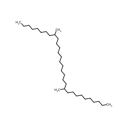 CCCCCCCCCCC(C)CCCCCCCCCCCC(C)CCCCCCCC